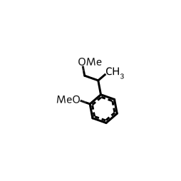 COCC(C)c1ccccc1OC